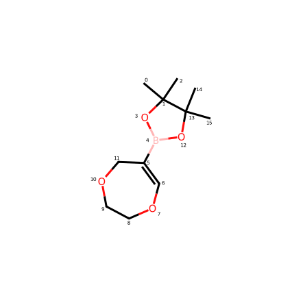 CC1(C)OB(C2=COCCOC2)OC1(C)C